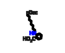 CCCCCCCCCCCCCCCCCCNc1ccccc1C(=O)O